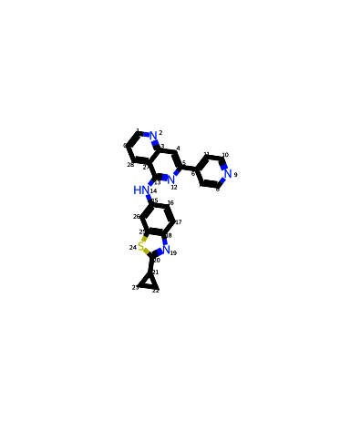 c1cnc2cc(-c3ccncc3)nc(Nc3ccc4nc(C5CC5)sc4c3)c2c1